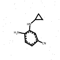 N#Cc1ccc(N)c(NC2CC2)c1